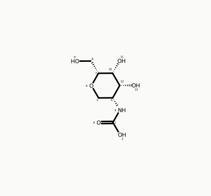 O=C(O)N[C@@H]1CO[C@H](CO)[C@H](O)[C@@H]1O